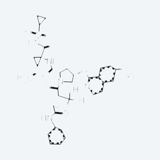 C=C[C@@H]1C[C@]1(NC(=O)[C@@H]1C[C@@H](Oc2nccc3cc(OC)ccc23)CN1C(=O)[C@@H](CC(=O)Nc1ccccc1)C(C)(C)C)C(=O)NS(=O)(=O)C1CC1